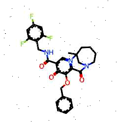 CC12CCCCN(C1)C(=O)c1c(OCc3ccccc3)c(=O)c(C(=O)NCc3c(F)cc(F)cc3F)cn12